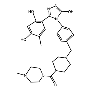 Cc1cc(-c2nnc(O)n2-c2ccc(CN3CCC(C(=O)N4CCN(C)CC4)CC3)cc2)c(O)cc1O